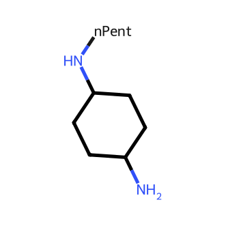 CCCCCNC1CCC(N)CC1